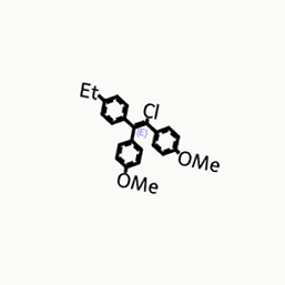 CCc1ccc(/C(=C(\Cl)c2ccc(OC)cc2)c2ccc(OC)cc2)cc1